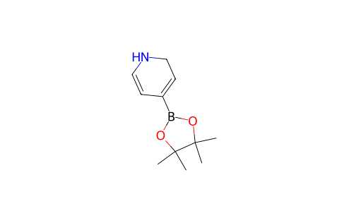 CC1(C)OB(C2=CCNC=C2)OC1(C)C